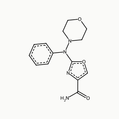 NC(=O)c1coc(N(c2ccccc2)N2CCOCC2)n1